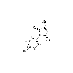 O=C1C=C(Br)C(=O)N1c1ccc(F)cc1